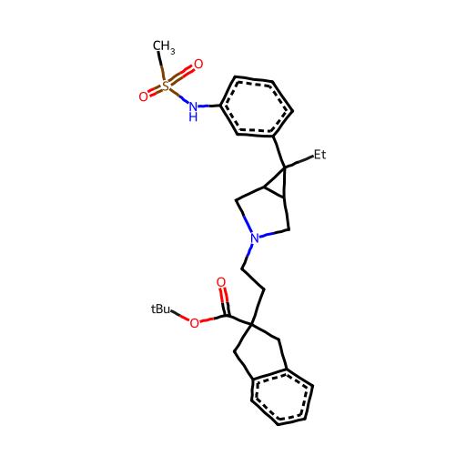 CCC1(c2cccc(NS(C)(=O)=O)c2)C2CN(CCC3(C(=O)OC(C)(C)C)Cc4ccccc4C3)CC21